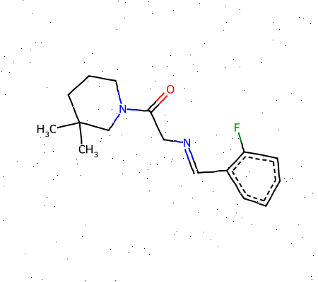 CC1(C)CCCN(C(=O)CN=Cc2ccccc2F)C1